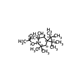 CC(=O)ON1C(C)(C)CC2(CC1(C)C)C(C)(C)C2(C)C